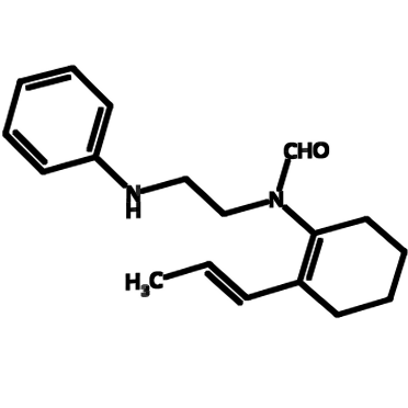 CC=CC1=C(N(C=O)CCNc2ccccc2)CCCC1